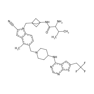 Cc1c(CN2CCC(Nc3ncnc4sc(CC(F)(F)F)cc34)CC2)ccc2c1cc(C#N)n2CC12CC(NC(=O)C(N)C(C)C)(C1)C2